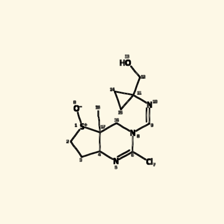 [O-][S+]1CCC2N=C(Cl)N(/C=N\C3(CO)CC3)CC21I